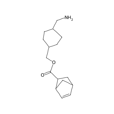 NCC1CCC(COC(=O)C2CC3C=CC2C3)CC1